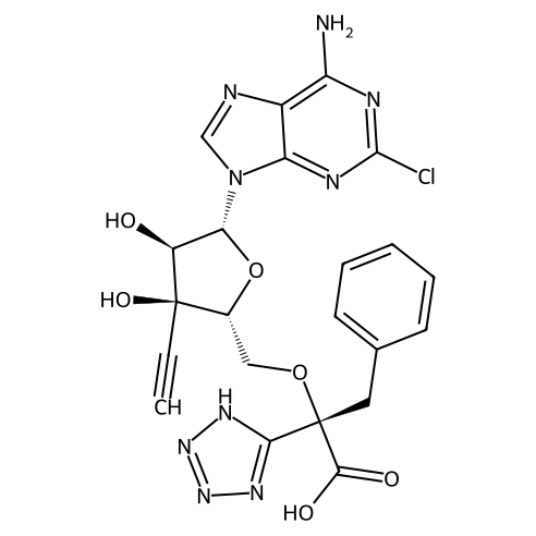 C#C[C@@]1(O)[C@@H](CO[C@](Cc2ccccc2)(C(=O)O)c2nnn[nH]2)O[C@@H](n2cnc3c(N)nc(Cl)nc32)[C@@H]1O